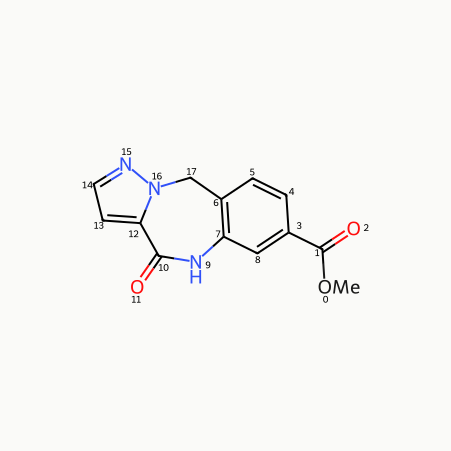 COC(=O)c1ccc2c(c1)NC(=O)c1ccnn1C2